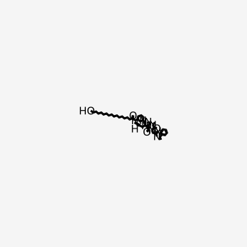 CC#CCn1c(N2CCCC(NC(=O)CCCCCCCCCCCCCCCO)C2)nc2c1c(=O)n(Cc1nc(C)c3ccccc3n1)c(=O)n2C